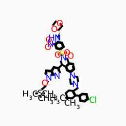 CC1(C)CCC(CN2CCN(c3ccc4c(c3)C(c3cnc5c(ccn5COCC[Si](C)(C)C)c3)CN(S(=O)(=O)c3ccc(NC[C@H]5COCCO5)c([N+](=O)[O-])c3)C4=O)CC2)=C(c2ccc(Cl)cc2)C1